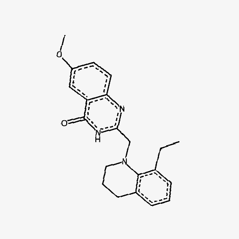 CCc1cccc2c1N(Cc1nc3ccc(OC)cc3c(=O)[nH]1)CCC2